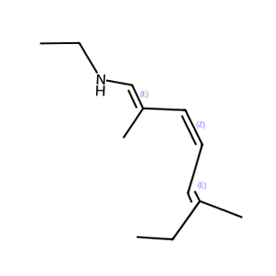 CCN/C=C(C)/C=C\C=C(/C)CC